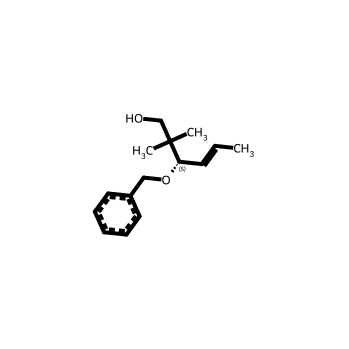 CC=C[C@H](OCc1ccccc1)C(C)(C)CO